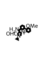 COc1cccc(F)c1-c1cccc2c(N)c3c(nc12)CN(C1CC1)C3C=O